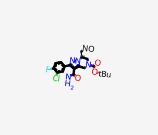 CC(C)(C)OC(=O)N1Cc2c(C(N)=O)c(-c3ccc(F)c(Cl)c3)nn2[C@@H](CN=O)C1